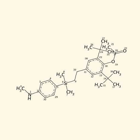 CNc1ccc([Si](C)(C)CCc2cc(C(C)(C)C)c(OC(C)=O)c(C(C)(C)C)c2)cc1